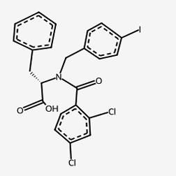 O=C(O)[C@H](Cc1ccccc1)N(Cc1ccc(I)cc1)C(=O)c1ccc(Cl)cc1Cl